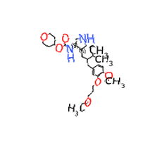 COCCCOc1cc(CC(C[C@@H]2CNC[C@H]2NC(=O)OC2CCOCC2)C(C)C)ccc1OC